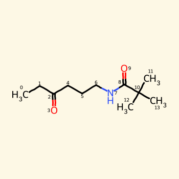 CCC(=O)CCCNC(=O)C(C)(C)C